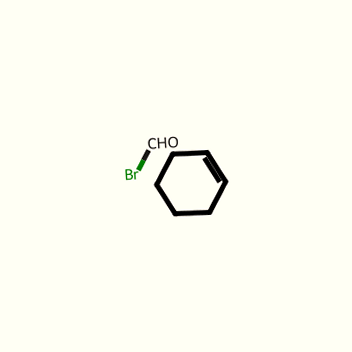 C1=CCCCC1.O=CBr